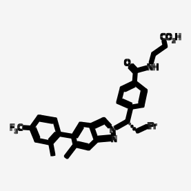 Cc1cc(C(F)(F)F)ccc1-c1cc2cn([C@@H](CC(C)C)c3ccc(C(=O)NCCC(=O)O)cc3)nc2cc1C